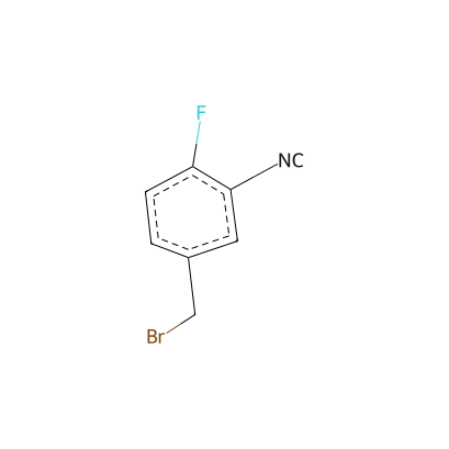 [C-]#[N+]c1cc(CBr)ccc1F